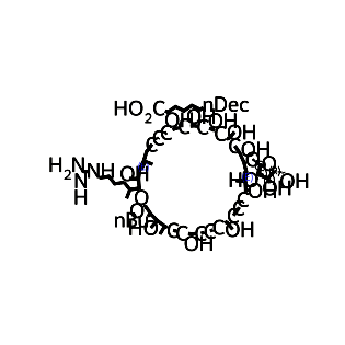 CCCCC1C(=O)OC(C(C)C(O)CCCNC(=N)N)C(C)/C=C(\C)CCCCC(O)CC(O)CC(O)CC(O)CC(O)C(O[C@H]2O[C@H](CO)[C@@H](O)[C@@H]2O)/C=C(\C)C(O)CCCC(O)CCCC(O)CCC(C)C1O.CCCCCCCCCCCCCCCC(=O)O